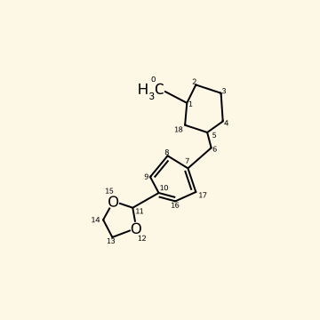 CC1CCCC(Cc2ccc(C3OCCO3)cc2)C1